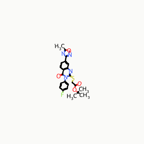 Cc1nc(-c2ccc3c(=O)n(-c4ccc(F)cc4)c(SCC(=O)OC(C)(C)C)nc3c2)no1